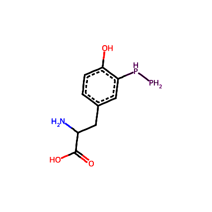 NC(Cc1ccc(O)c(PP)c1)C(=O)O